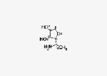 CC(N)C1OCC(O)C1O